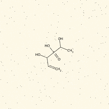 C=CC(O)P(=O)(O)C(C)O